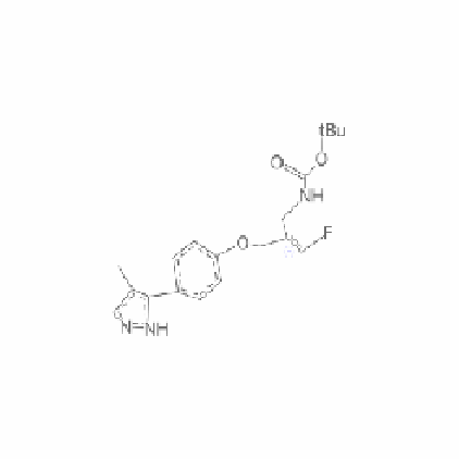 Cc1cn[nH]c1-c1ccc(OC/C(=C/F)CNC(=O)OC(C)(C)C)cc1